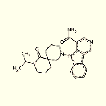 CC(C)N1CCCC2(CCCN(n3c4ccccc4c4cncc(C(N)=O)c43)C2)C1=O